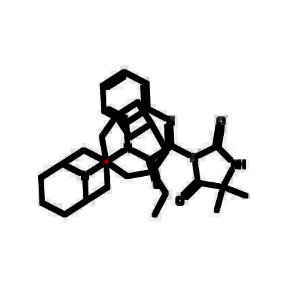 CCC1CC2CC(C2)CC(N2C3CCCC2CC(n2c(=O)c(N4C(=O)NC(C)(C)C4=O)nc4ccccc42)C3)C1